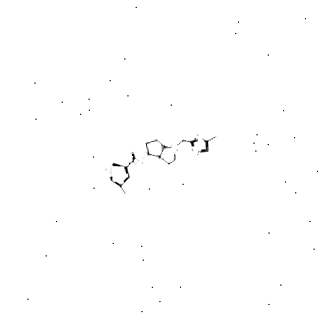 Cc1cncc(C(=O)N[C@H]2CC[C@@H]3[C@H]2CCN3Cc2nc(C)c[nH]2)c1